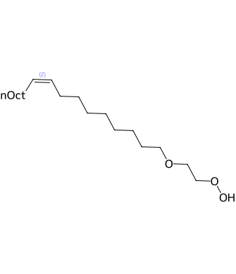 CCCCCCCC/C=C\CCCCCCCCOCCOO